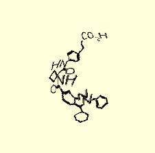 O=C(O)CCc1ccc(NC(=O)C2(NC(=O)c3ccc4c(C5CCCCC5)n(-c5ccccc5)nc4c3)CCC2)cc1